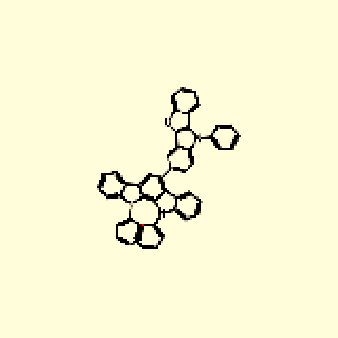 c1ccc(-n2c3ccc(-c4cc5c6ccccc6n(-c6ccccc6)c5c5c4c4ccccc4n5-c4ccccc4)cc3c3oc4ccccc4c32)cc1